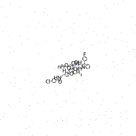 CCCOC(=O)CC(O)(CC(O)/C=C/c1c(-c2ccc(F)cc2)c2ccccc2n1C(C)C)OC(=O)C(C)(C)Oc1ccc(CCNC(=O)c2ccc(Cl)cc2)cc1